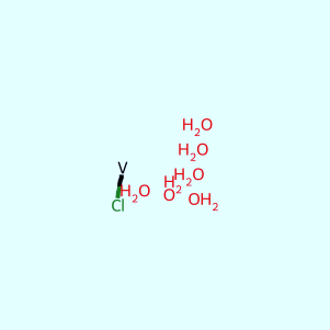 O.O.O.O.O.O.[Cl][V]